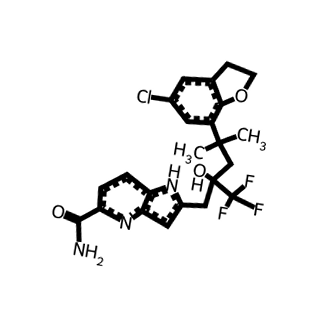 CC(C)(CC(O)(Cc1cc2nc(C(N)=O)ccc2[nH]1)C(F)(F)F)c1cc(Cl)cc2c1OCC2